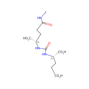 O=C(O)CC[C@H](NC(=O)N[C@@H](CCC(=O)NI)C(=O)O)C(=O)O